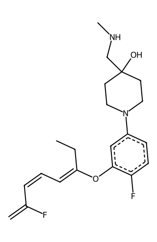 C=C(F)/C=C\C=C(/CC)Oc1cc(N2CCC(O)(CNC)CC2)ccc1F